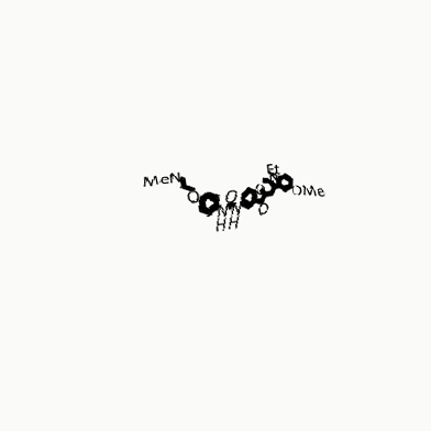 CCn1c(C)c(CC2Oc3ccc(NC(=O)Nc4ccc(OCCCNC)cc4)cc3C2=O)c2cc(OC)ccc21